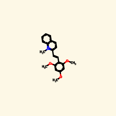 COc1cc(OC)c(/C=C/c2ccc3ccccc3[n+]2C)c(OC)c1